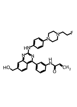 C=CC(=O)Nc1cccc(-c2nc(Nc3ccc(N4CCN(CCF)CC4)cc3)nc3cc(CO)ccc23)c1